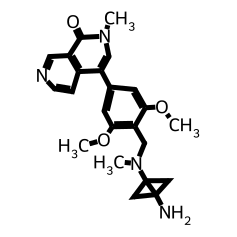 COc1cc(-c2cn(C)c(=O)c3cnccc23)cc(OC)c1CN(C)C12CC1(N)C2